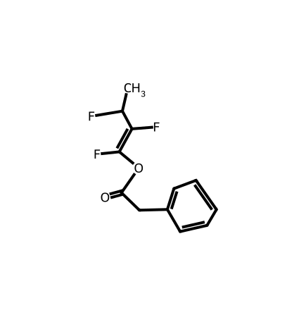 CC(F)/C(F)=C(\F)OC(=O)Cc1ccccc1